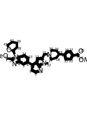 COCc1nc2cc(-c3ccnc4c3cc(CN3CCC(c5ccc(C(=O)OC)cc5)CC3)n4C)ccc2n1C1CCCCO1